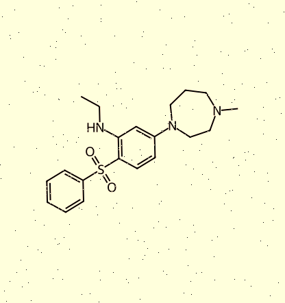 CCNc1cc(N2CCCN(C)CC2)ccc1S(=O)(=O)c1ccccc1